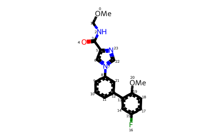 COCNC(=O)c1cn(-c2cccc(-c3cc(F)ccc3OC)c2)cn1